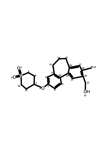 O=S1(=O)CCC(Oc2ccc3c(c2)CCCc2cc(F)c(CO)cc2-3)CC1